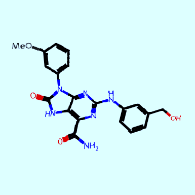 COc1cccc(-n2c(=O)[nH]c3c(C(N)=O)nc(Nc4cccc(CO)c4)nc32)c1